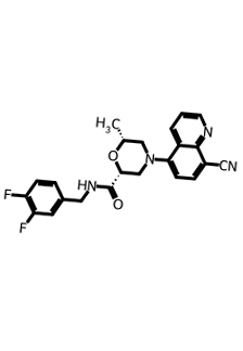 C[C@@H]1CN(c2ccc(C#N)c3ncccc23)C[C@H](C(=O)NCc2ccc(F)c(F)c2)O1